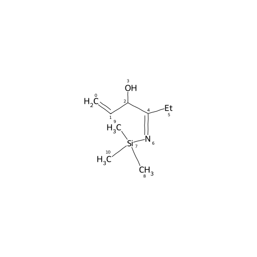 C=CC(O)C(CC)=N[Si](C)(C)C